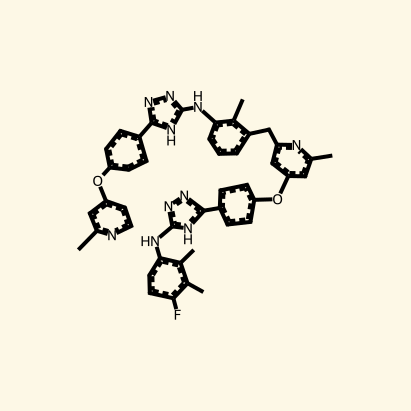 Cc1cc(Oc2ccc(-c3nnc(Nc4cccc(Cc5cc(Oc6ccc(-c7nnc(Nc8ccc(F)c(C)c8C)[nH]7)cc6)cc(C)n5)c4C)[nH]3)cc2)ccn1